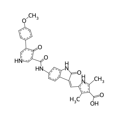 COc1ccc(-c2c[nH]cc(C(=O)Nc3ccc4c(c3)NC(=O)C4=Cc3[nH]c(C)c(C(=O)O)c3C)c2=O)cc1